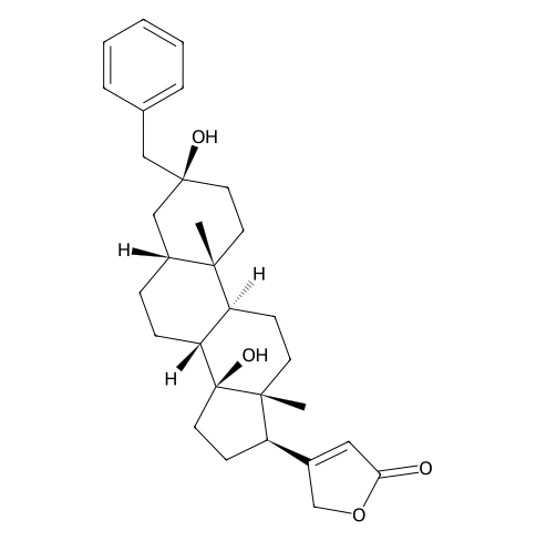 C[C@]12CC[C@@](O)(Cc3ccccc3)C[C@H]1CC[C@@H]1[C@@H]2CC[C@]2(C)[C@@H](C3=CC(=O)OC3)CC[C@]12O